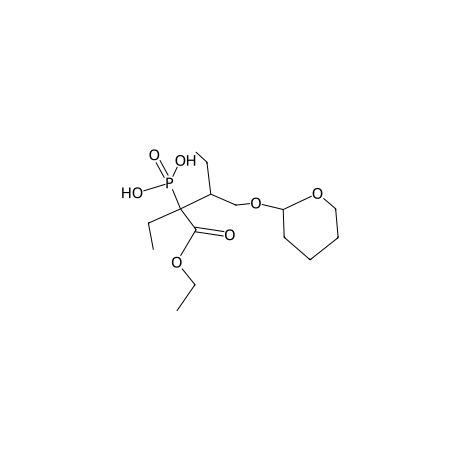 CCOC(=O)C(CC)(C(CC)COC1CCCCO1)P(=O)(O)O